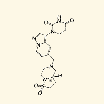 O=C1CCN(c2cnn3ccc(CN4CCN5[C@@H](CCS5(=O)=O)C4)cc23)C(=O)N1